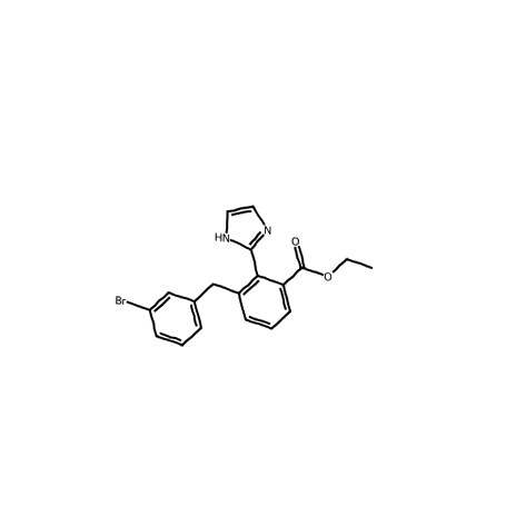 CCOC(=O)c1cccc(Cc2cccc(Br)c2)c1-c1ncc[nH]1